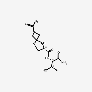 CC(C)C(=O)N1CC2(C1)N[C@H](C(=O)N[C@H](C(N)=O)[C@@H](C)O)CS2